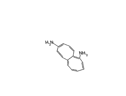 Nc1cccc2c(N)cccccc-2cc1